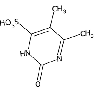 Cc1nc(=O)[nH]c(S(=O)(=O)O)c1C